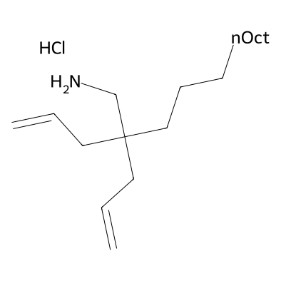 C=CCC(CN)(CC=C)CCCCCCCCCCC.Cl